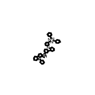 c1ccc(-c2nc(-c3ccccc3)nc(-c3cccc(-n4c5ccccc5c5cc(-n6ncc7c6ccc6c8ccccc8n(-c8ccccc8)c67)ccc54)c3)n2)cc1